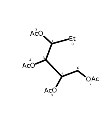 CCC(OC(C)=O)C(OC(C)=O)C(COC(C)=O)OC(C)=O